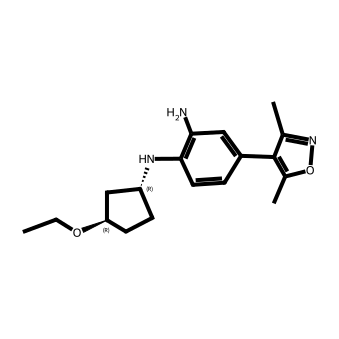 CCO[C@@H]1CC[C@@H](Nc2ccc(-c3c(C)noc3C)cc2N)C1